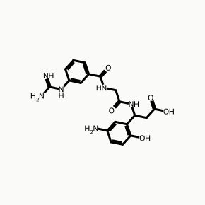 N=C(N)Nc1cccc(C(=O)NCC(=O)NC(CC(=O)O)c2cc(N)ccc2O)c1